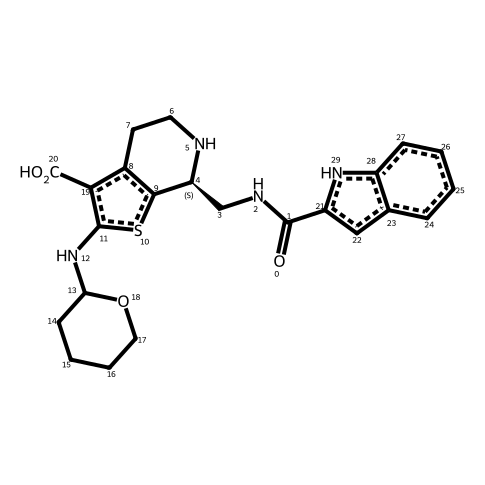 O=C(NC[C@@H]1NCCc2c1sc(NC1CCCCO1)c2C(=O)O)c1cc2ccccc2[nH]1